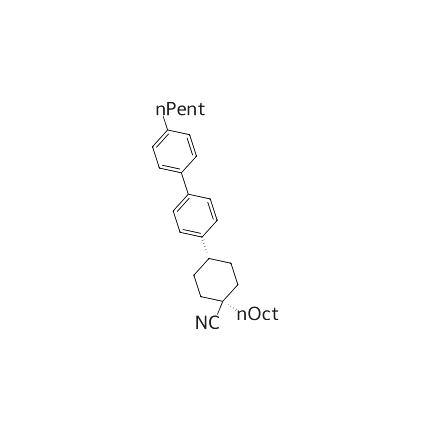 CCCCCCCC[C@]1(C#N)CC[C@H](c2ccc(-c3ccc(CCCCC)cc3)cc2)CC1